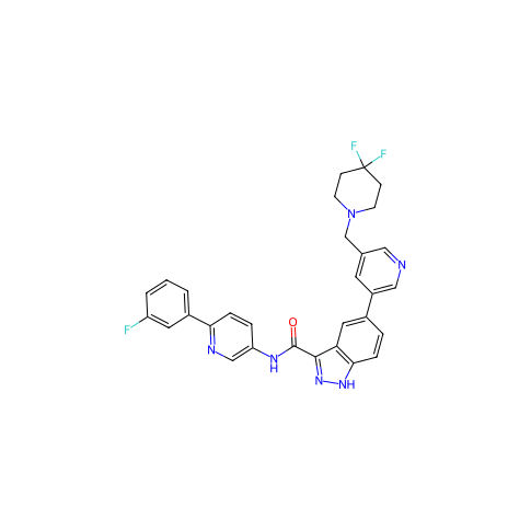 O=C(Nc1ccc(-c2cccc(F)c2)nc1)c1n[nH]c2ccc(-c3cncc(CN4CCC(F)(F)CC4)c3)cc12